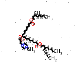 C=C=C=C=CC(CCCCC)CCOC(=O)CCCCCCCC1(CCCCCCCC(=O)OCCC(C)CCCCC)OCC(CN2CCN(C)CC2)O1